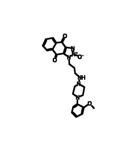 COc1ccccc1N1CCN(NCCCn2c3c(n[n+]2[O-])C(=O)c2ccccc2C3=O)CC1